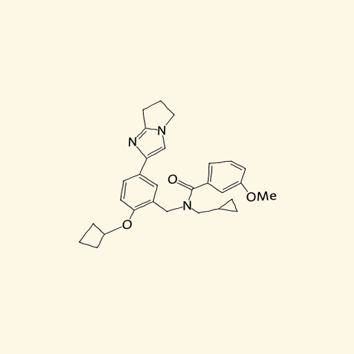 COc1cccc(C(=O)N(Cc2cc(-c3cn4c(n3)CCC4)ccc2OC2CCC2)CC2CC2)c1